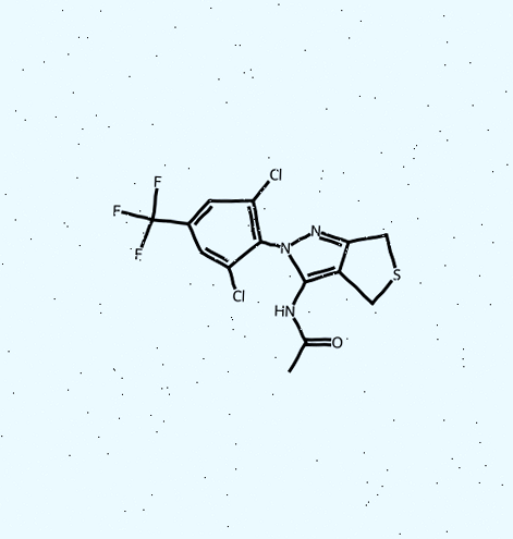 CC(=O)Nc1c2c(nn1-c1c(Cl)cc(C(F)(F)F)cc1Cl)CSC2